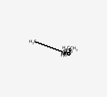 C=C(C)C(=O)OC12CCCC1OC(OCCCCCCCCCCCCCCCCCCCC)(C(F)(F)F)C2(F)F